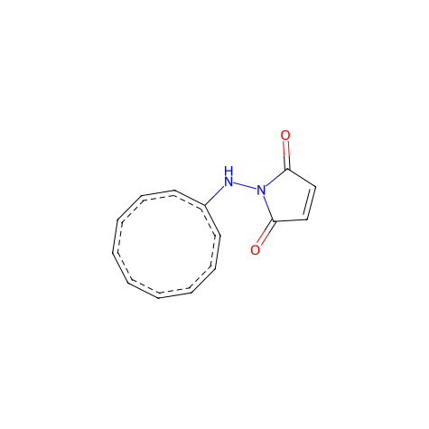 O=C1C=CC(=O)N1Nc1ccccccccc1